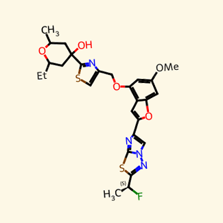 CCC1CC(O)(c2nc(COc3cc(OC)cc4oc(-c5cn6nc([C@H](C)F)sc6n5)cc34)cs2)CC(C)O1